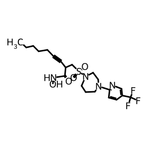 CCCCCC#CC(CS(=O)(=O)N1CCCN(c2ccc(C(F)(F)F)cn2)CC1)C(=O)NO